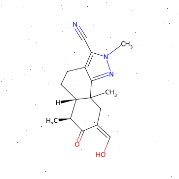 C[C@@H]1C(=O)/C(=C\O)CC2(C)c3nn(C)c(C#N)c3CC[C@@H]12